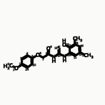 COc1ccc(OCC(=O)NC(=S)Nc2cc(C)cc(C)c2O)cc1